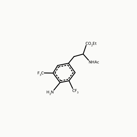 CCOC(=O)C(Cc1cc(C(F)(F)F)c(N)c(C(F)(F)F)c1)NC(C)=O